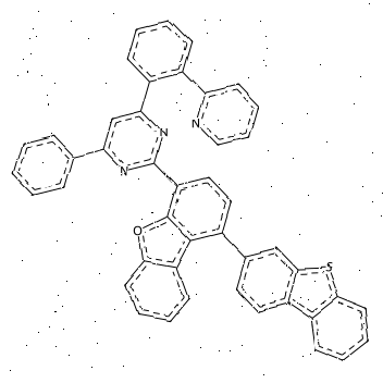 c1ccc(-c2cc(-c3ccccc3-c3ccccn3)nc(-c3ccc(-c4ccc5c(c4)sc4ccccc45)c4c3oc3ccccc34)n2)cc1